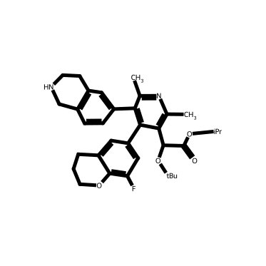 Cc1nc(C)c(C(OC(C)(C)C)C(=O)OC(C)C)c(-c2cc(F)c3c(c2)CCCO3)c1-c1ccc2c(c1)CCNC2